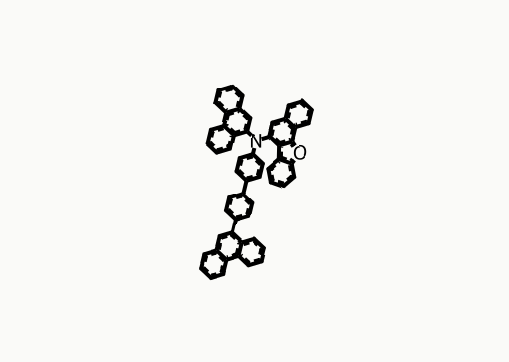 c1ccc2c(c1)cc(-c1ccc(-c3ccc(N(c4cc5ccccc5c5ccccc45)c4cc5ccccc5c5oc6ccccc6c45)cc3)cc1)c1ccccc12